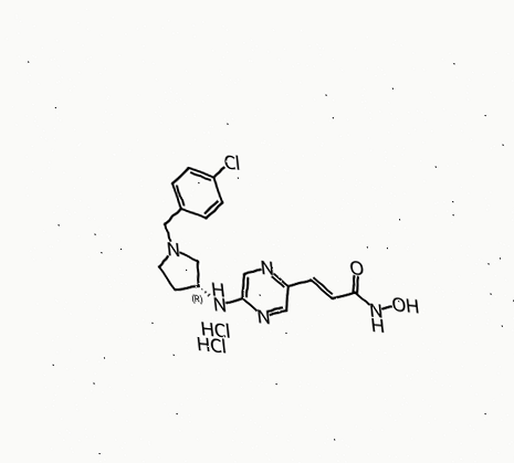 Cl.Cl.O=C(C=Cc1cnc(N[C@@H]2CCN(Cc3ccc(Cl)cc3)C2)cn1)NO